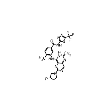 C=C/N=C1/C=NC(N2CC[C@H](F)C2)=N/C1=C(/N)Nc1cc(C(=O)Nc2nnc(C(F)(F)F)s2)ccc1C